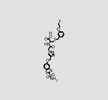 NS(=O)(=O)c1nc2cc(OCc3cn(CC(=O)NC(CSCc4cccc(OCCF)c4)C(=O)O)nn3)ccc2s1